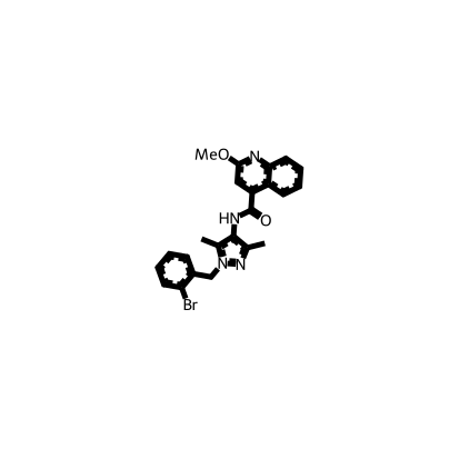 COc1cc(C(=O)Nc2c(C)nn(Cc3ccccc3Br)c2C)c2ccccc2n1